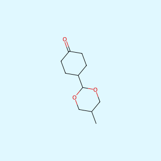 CC1COC(C2CCC(=O)CC2)OC1